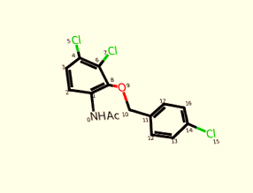 CC(=O)Nc1ccc(Cl)c(Cl)c1OCc1ccc(Cl)cc1